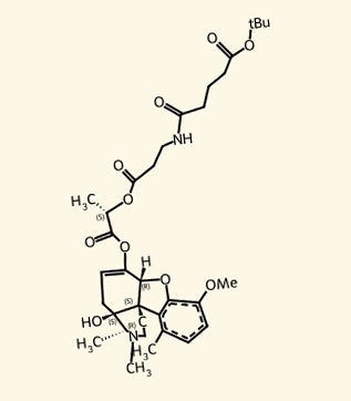 COc1ccc(C)c2c1O[C@H]1C(OC(=O)[C@H](C)OC(=O)CCNC(=O)CCCC(=O)OC(C)(C)C)=CC[C@@]3(O)[C@@H](C)N(C)CC[C@]213